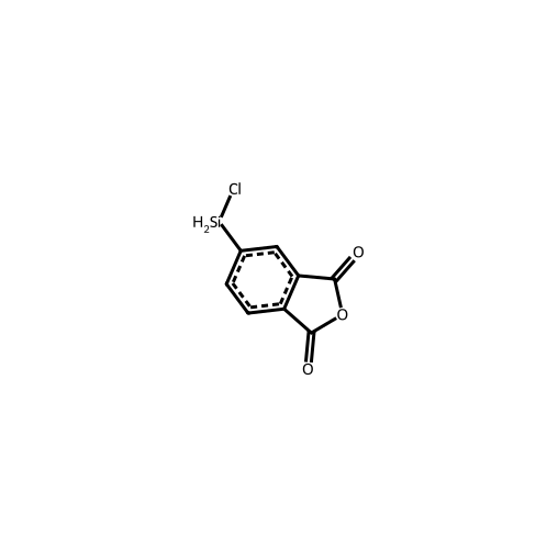 O=C1OC(=O)c2cc([SiH2]Cl)ccc21